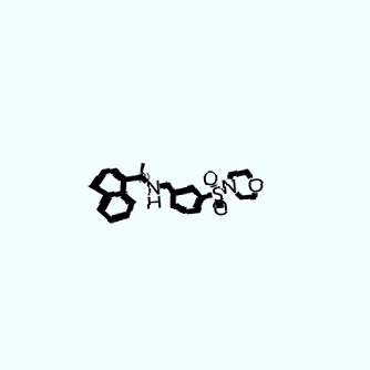 C[C@@H](NCc1cccc(S(=O)(=O)N2CCOCC2)c1)c1cccc2ccccc12